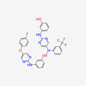 CN(c1cnc(Nc2cccc(O)c2)nc1)c1cccc(C(F)(F)F)c1.Oc1cccc(Nc2ncc(Oc3ccc(F)cc3)cn2)c1